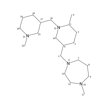 CC1CCC(CN2CCCN(C)CC2)CN1CC1CCCN(C)C1